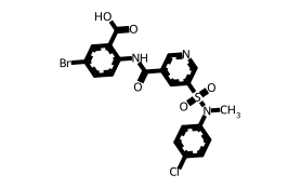 CN(c1ccc(Cl)cc1)S(=O)(=O)c1cncc(C(=O)Nc2ccc(Br)cc2C(=O)O)c1